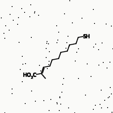 CC(=CCCCCCCCCS)C(=O)O